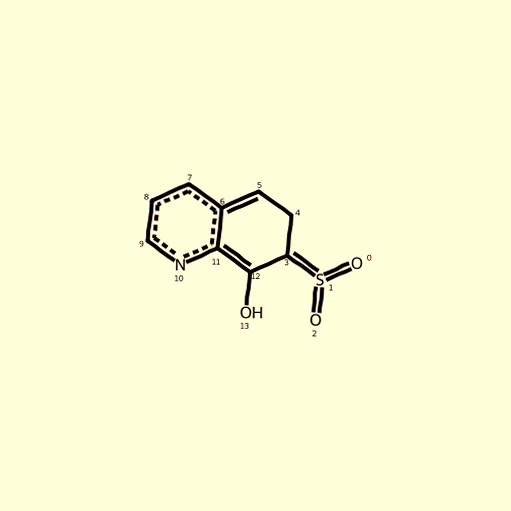 O=S(=O)=C1CC=c2cccnc2=C1O